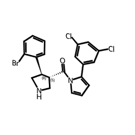 O=C([C@@H]1CNC[C@H]1c1ccccc1Br)n1cccc1-c1cc(Cl)cc(Cl)c1